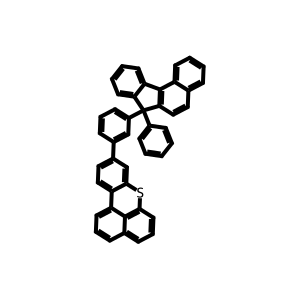 c1ccc(C2(c3cccc(-c4ccc5c(c4)Sc4cccc6cccc-5c46)c3)c3ccccc3-c3c2ccc2ccccc32)cc1